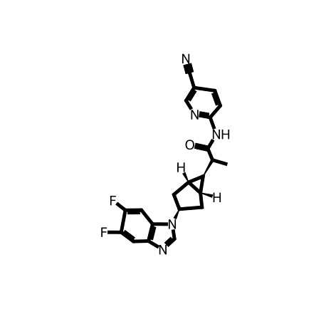 CC(C(=O)Nc1ccc(C#N)cn1)[C@H]1[C@@H]2C[C@@H](n3cnc4cc(F)c(F)cc43)C[C@@H]21